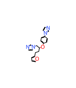 c1coc(CCC(Cn2ccnc2)Oc2ccc(-n3ccnc3)cc2)c1